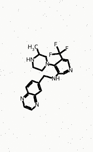 CC1CN(c2c(NCc3ccc4nccnc4c3)cncc2C(F)(F)F)CCN1